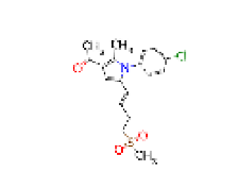 CC(=O)c1cc(C=CCCS(C)(=O)=O)n(-c2ccc(Cl)cc2)c1C